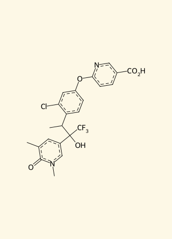 Cc1cc(C(O)(C(C)c2ccc(Oc3ccc(C(=O)O)cn3)cc2Cl)C(F)(F)F)cn(C)c1=O